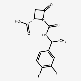 CC(NC(=O)N1C(=O)C[C@H]1C(=O)O)c1ccc(F)c(F)c1